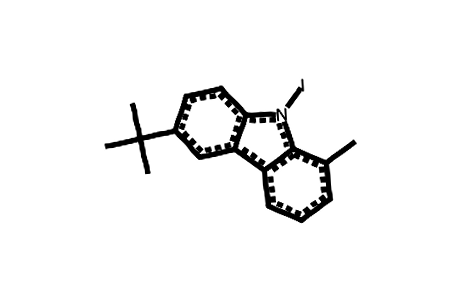 Cc1cccc2c3cc(C(C)(C)C)ccc3n(I)c12